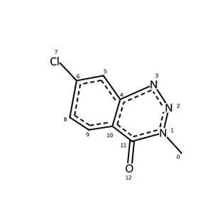 Cn1nnc2cc(Cl)ccc2c1=O